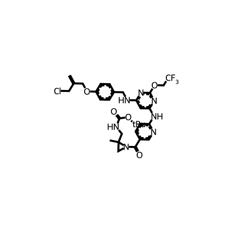 C=C(CCl)COc1ccc(CNc2cc(Nc3ccc(C(=O)N4CC4(C)CNC(=O)OC(C)(C)C)cn3)nc(OCC(F)(F)F)n2)cc1